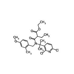 CCOC(=O)C(CC)C(=O)N(Cc1ccc(OC)cc1C)C(C)(C)c1ccc(Cl)nc1Cl